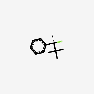 CC(C)(C)[C@](C)(F)c1ccccc1